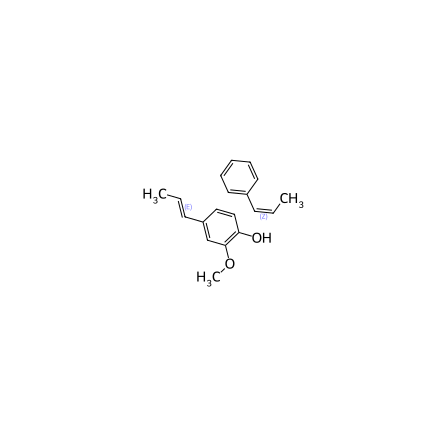 C/C=C/c1ccc(O)c(OC)c1.C/C=C\c1ccccc1